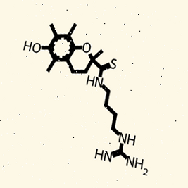 Cc1c(C)c2c(c(C)c1O)CCC(C)(C(=S)NCCCCNC(=N)N)O2